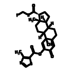 Cc1ncsc1C(=O)OC1=C[C@@]2(C)C(=CC1=O)CC[C@@H]1[C@H]2CC[C@]2(C)[C@H](C(=O)SCF)CC[C@@H]12